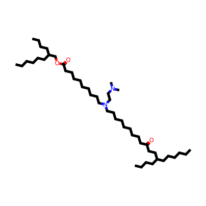 CCCCCCC(CCCC)CCC(=O)CCCCCCCCCN(CCCCCCCCCC(=O)OCC(CCCC)CCCCCC)CCN(C)C